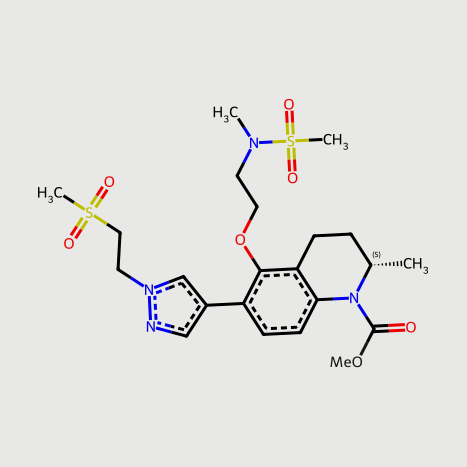 COC(=O)N1c2ccc(-c3cnn(CCS(C)(=O)=O)c3)c(OCCN(C)S(C)(=O)=O)c2CC[C@@H]1C